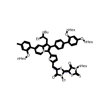 CCCCCCOc1ccc(-c2ccc(-c3c(CC(CC)CCCC)c4cc(-c5ccc(C)cc5OCCCCCC)ccn4c3-c3ccc(/C=c4\s/c(=C5/SC(=S)N(CCCCCC)C5=O)n(CC)c4=O)s3)cc2)c(OCCCCCC)c1